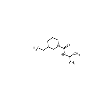 [CH2]CC1CCCN(C(=O)NC(C)C)C1